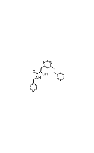 O=C(NCc1ccncc1)/C(O)=C/c1cc(CCc2ccccc2)ncn1